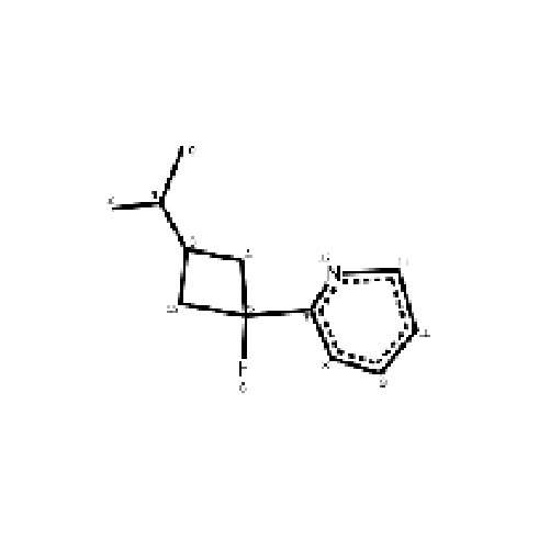 CC(C)C1CC(F)(c2ccccn2)C1